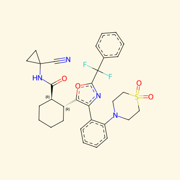 N#CC1(NC(=O)[C@@H]2CCCC[C@H]2c2oc(C(F)(F)c3ccccc3)nc2-c2ccccc2N2CCS(=O)(=O)CC2)CC1